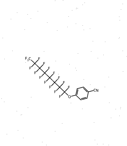 N#Cc1ccc(OC(F)(F)C(F)(F)C(F)(F)C(F)(F)C(F)(F)C(F)(F)C(F)(F)C(F)(F)F)cc1